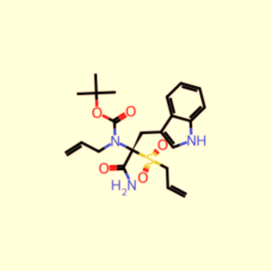 C=CCN(C(=O)OC(C)(C)C)[C@@](Cc1c[nH]c2ccccc12)(C(N)=O)S(=O)(=O)CC=C